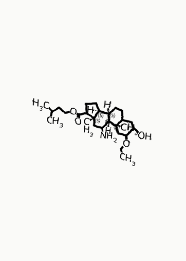 CCOC1C[C@@]2(C)C(CC[C@@H]3[C@H]2C(N)C[C@]2(C)C(C(=O)OCCC(C)C)CC[C@@H]32)CC1O